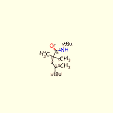 CC(CC(C)(C)C(=O)NC(C)(C)C)C(C)(C)C